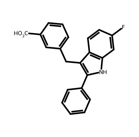 O=C(O)c1cccc(Cc2c(-c3ccccc3)[nH]c3cc(F)ccc23)c1